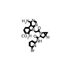 Nc1ncnc2c1c1cccc(C(=O)O)c1n2CC(=O)N1C2C[C@@H]2C[C@H]1C(=O)Nc1cccc(Br)n1